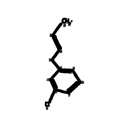 [CH2]C=CCc1cccc(Cl)c1